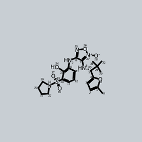 Cc1ccc([C@H](Nc2c(Nc3cccc(S(=O)(=O)N4CCCC4)c3O)no[n+]2[O-])C(C)(C)C)o1